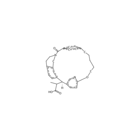 CC(C(=O)O)[C@@H]1c2ccc(nc2)OCCCCCc2ccc(cc2)C(=O)N2CCc3ccc1cc3C2